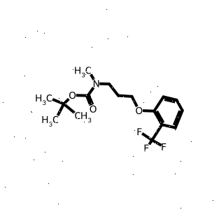 CN(CCCOc1ccc[c]c1C(F)(F)F)C(=O)OC(C)(C)C